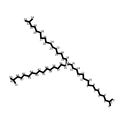 CC(C)CCCCCCCCCCCCCCN(CCCCCCCCCCCCCCC(C)C)CCCCCCCCCCCCCCC(C)C